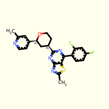 Cc1cc([C@@H]2C[C@H](c3nc(-c4ccc(F)cc4F)c4sc(C)nc4n3)CCO2)ccn1